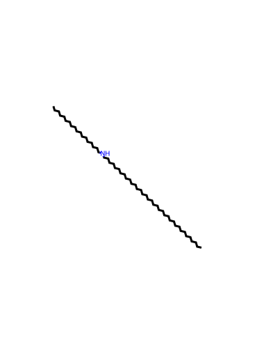 CCCCCCCCCCCCCCCCCCCCCCCCCCCCCCCCCCCCNCCCCCCCCCCCCCCCCCC